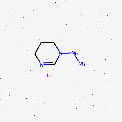 I.NNN1C=NCCC1